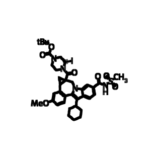 COc1ccc2c(c1)C1CC1(C(=O)N1CCN(C(=O)OC(C)(C)C)C[C@H]1I)Cn1c-2c(C2CCCCC2)c2ccc(C(=O)NS(C)(=O)=O)cc21